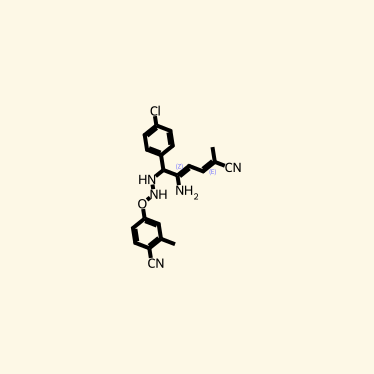 C/C(C#N)=C\C=C(/N)C(NNOc1ccc(C#N)c(C)c1)c1ccc(Cl)cc1